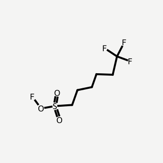 O=S(=O)(CCCCCC(F)(F)F)OF